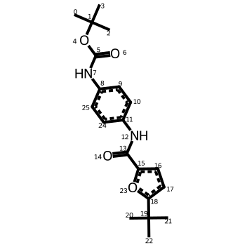 CC(C)(C)OC(=O)Nc1ccc(NC(=O)c2ccc(C(C)(C)C)o2)cc1